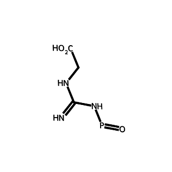 N=C(NCC(=O)O)NP=O